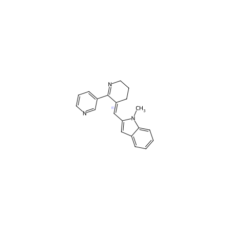 Cn1c(/C=C2\CCCN=C2c2cccnc2)cc2ccccc21